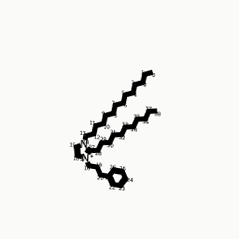 CCCCCCCCCCCCCCn1cc[n+](CCCc2ccccc2)c1CCCCCCCCCCC